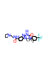 Cn1c(Nc2nc3ccc(C(F)(F)F)cc3o2)nc2cc(C(=O)NCCN3CCCC3)ccc21